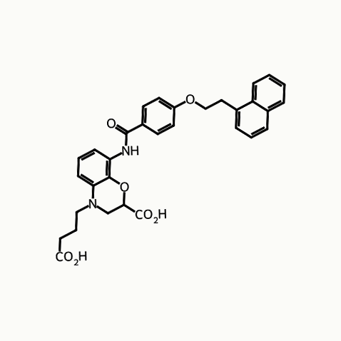 O=C(O)CCCN1CC(C(=O)O)Oc2c(NC(=O)c3ccc(OCCc4cccc5ccccc45)cc3)cccc21